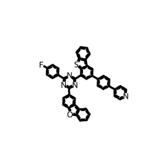 Fc1ccc(-c2nc(-c3ccc4oc5ccccc5c4c3)nc(-c3cc(-c4ccc(-c5ccncc5)cc4)cc4c3sc3ccccc34)n2)cc1